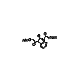 CCCCCCCCCC(=O)N1C(=O)C(C(=O)COC)c2ccccc21